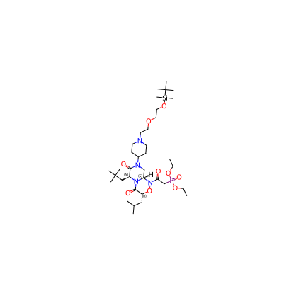 CCOP(=O)(CC(=O)N1O[C@H](CC(C)C)C(=O)N2[C@@H]1CN(C1CCN(CCOCCO[Si](C)(C)C(C)(C)C)CC1)C(=O)[C@@H]2CC(C)(C)C)OCC